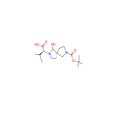 CC(C)[C@@H](C(=O)O)N1CC[C@@]2(CCN(C(=O)OC(C)(C)C)C2)C1O